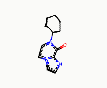 O=c1c2nccn2ccn1C1CCCCC1